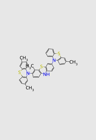 Cc1ccc2c(c1)Sc1ccccc1N2c1ccc2c(c1)Sc1c(ccc(N3c4ccc(C)cc4Sc4ccc(C)cc43)c1C)N2